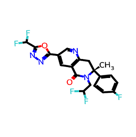 C[C@]1(c2ccc(F)cc2)Cc2ncc(-c3nnc(C(F)F)o3)cc2C(=O)N1CC(F)F